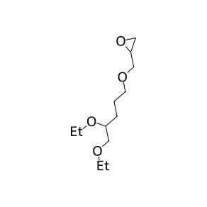 CCOCC(CCCOCC1CO1)OCC